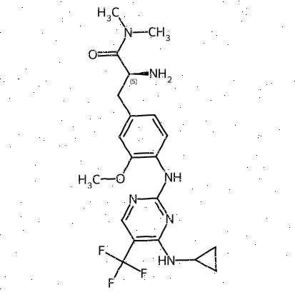 COc1cc(C[C@H](N)C(=O)N(C)C)ccc1Nc1ncc(C(F)(F)F)c(NC2CC2)n1